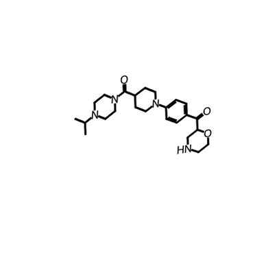 CC(C)N1CCN(C(=O)C2CCN(c3ccc(C(=O)C4CNCCO4)cc3)CC2)CC1